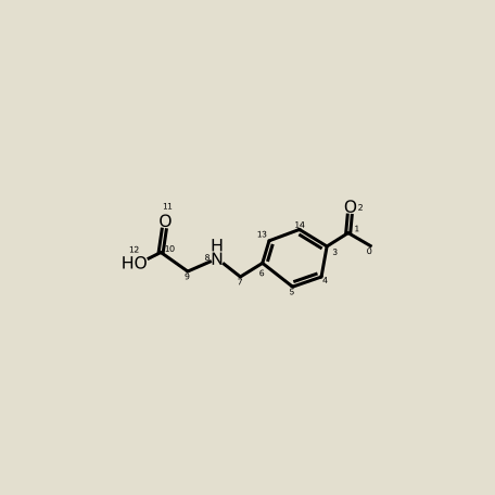 CC(=O)c1ccc(CNCC(=O)O)cc1